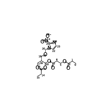 CCC(=O)OCCC(=O)OC(OC(=O)CC)C(C)COCn1ccnc1[N+](=O)[O-]